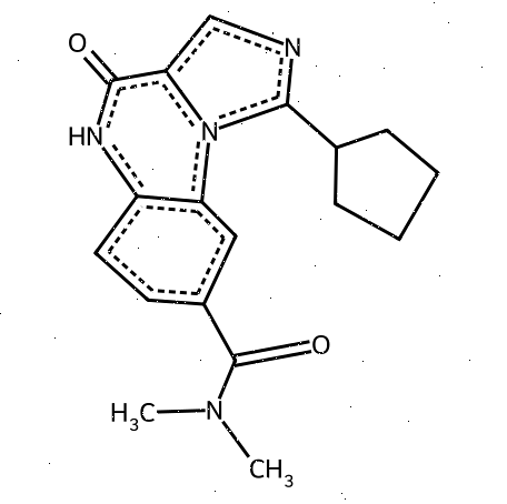 CN(C)C(=O)c1ccc2[nH]c(=O)c3cnc(C4CCCC4)n3c2c1